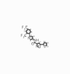 O=C(Nc1cnn(-c2ccc(C(F)(F)F)cc2C(F)(F)F)c1)c1cc(-c2cccs2)on1